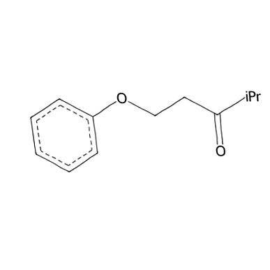 CC(C)C(=O)CCOc1ccccc1